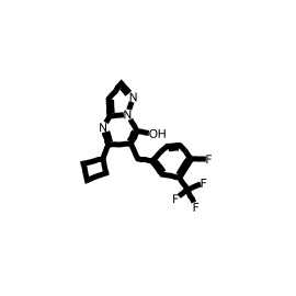 Oc1c(Cc2ccc(F)c(C(F)(F)F)c2)c(C2CCC2)nc2ccnn12